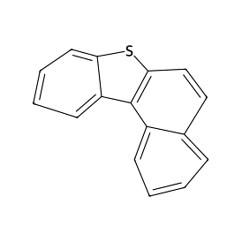 c1ccc2c(c1)ccc1sc3ccccc3c12